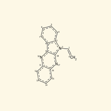 C=Cn1c2ccccc2c2nc3ccccc3nc21